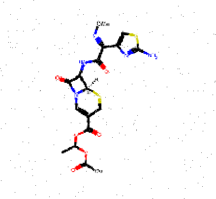 CON=C(C(=O)NC1C(=O)N2C=C(C(=O)OC(C)OC(=O)C(C)(C)C)CS[C@H]12)c1csc(N)n1